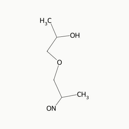 CC(O)COCC(C)N=O